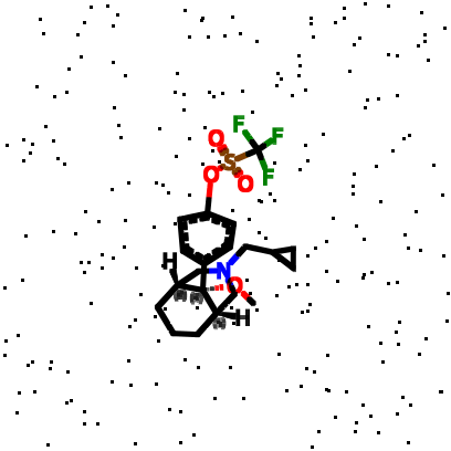 CO[C@@]1(c2ccc(OS(=O)(=O)C(F)(F)F)cc2)[C@@H]2CCC[C@H]1CN(CC1CC1)C2